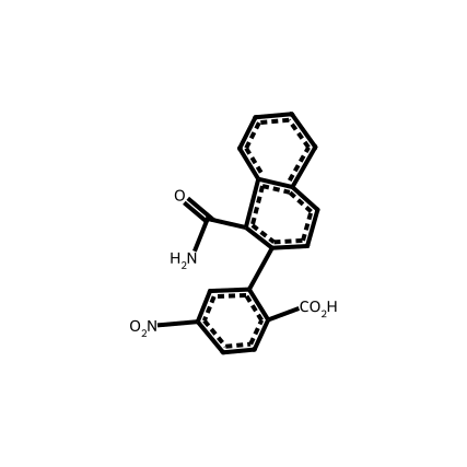 NC(=O)c1c(-c2cc([N+](=O)[O-])ccc2C(=O)O)ccc2ccccc12